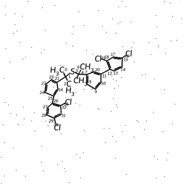 CC(C)(SC(C)(C)c1cccc(-c2ccc(Cl)cc2Cl)c1)c1cccc(-c2ccc(Cl)cc2Cl)c1